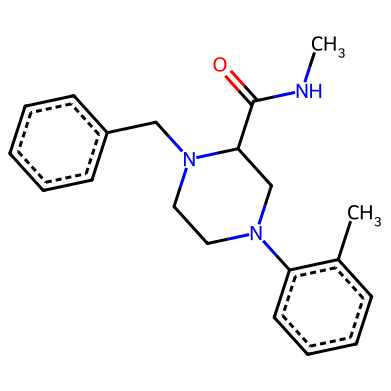 CNC(=O)C1CN(c2ccccc2C)CCN1Cc1ccccc1